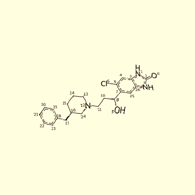 O=c1[nH]c2cc(Cl)c(C(O)CCN3CCC[C@H](Cc4ccccc4)C3)cc2[nH]1